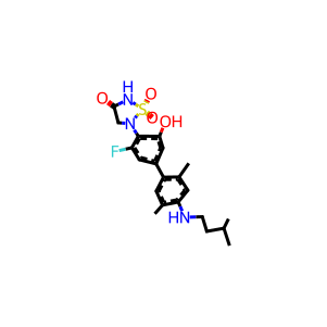 Cc1cc(-c2cc(O)c(N3CC(=O)NS3(=O)=O)c(F)c2)c(C)cc1NCCC(C)C